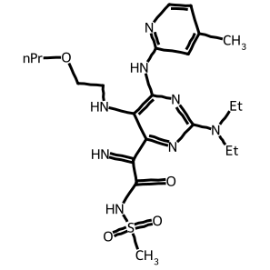 CCCOCCNc1c(Nc2cc(C)ccn2)nc(N(CC)CC)nc1C(=N)C(=O)NS(C)(=O)=O